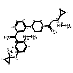 C=C(c1cc(N2CCN(C(=C)O[C@@H](NN)C3CC3)CC2)ncn1)c1cc(OC2(C)CC2)ccc1NN